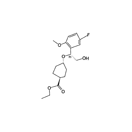 CCOC(=O)[C@H]1CC[C@H](O[C@@H](CO)c2cc(F)ccc2OC)CC1